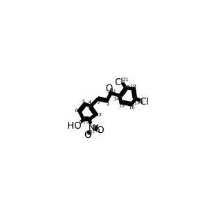 O=C(C=Cc1ccc(O)c([N+](=O)[O-])c1)c1ccc(Cl)cc1Cl